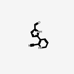 N#CC1=C(c2ccc(C=O)[nH]2)C=CCN1